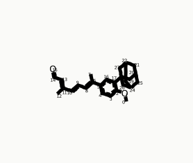 COc1ccc(C(C)=CC=CC(C)=CC=O)cc1C12CC3CC(CC(C3)C1)C2